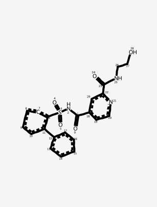 O=C(NS(=O)(=O)c1ccccc1-c1ccccc1)c1ccnc(C(=O)NCCO)c1